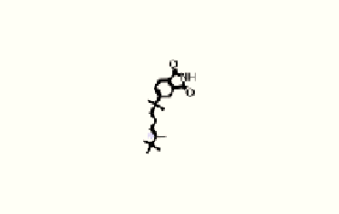 C/C(=C\CCC(C)(C)C1=CCC2=C(C1)C(=O)NC2=O)C(C)(C)C